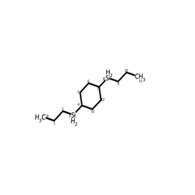 CCC[SiH2]C1[CH]CC([SiH2]CCC)[CH]C1